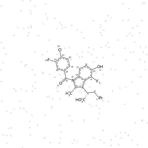 Cc1c([C@H](CC(C)C)C(=O)O)c2c(F)c(O)ccc2n1C(=O)c1ccc(Cl)c(F)c1